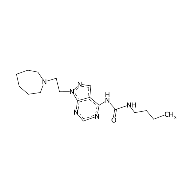 CCCCNC(=O)Nc1ncnc2c1cnn2CCN1CCCCCC1